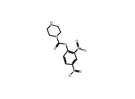 O=C(Oc1ccc([N+](=O)[O-])cc1[N+](=O)[O-])N1CCNCC1